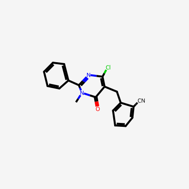 Cn1c(-c2ccccc2)nc(Cl)c(Cc2ccccc2C#N)c1=O